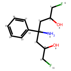 NC(CC(O)CF)(CC(O)CF)c1ccccc1